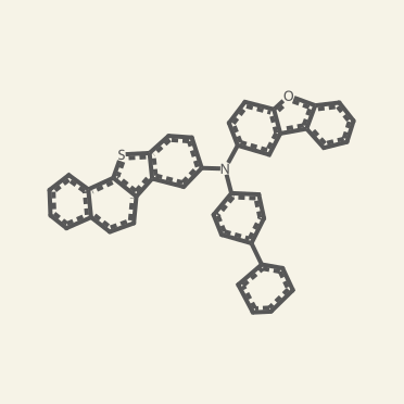 c1ccc(-c2ccc(N(c3ccc4oc5ccccc5c4c3)c3ccc4sc5c6ccccc6ccc5c4c3)cc2)cc1